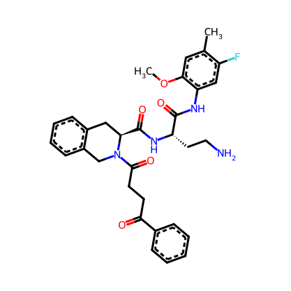 COc1cc(C)c(F)cc1NC(=O)[C@H](CCN)NC(=O)[C@@H]1Cc2ccccc2CN1C(=O)CCC(=O)c1ccccc1